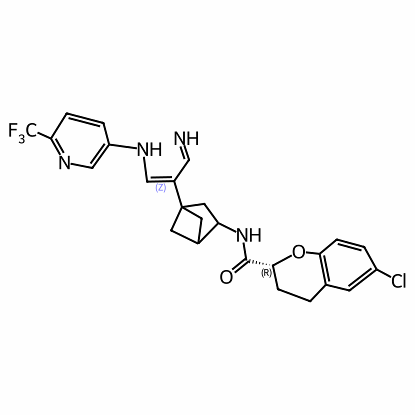 N=C/C(=C\Nc1ccc(C(F)(F)F)nc1)C12CC(C1)C(NC(=O)[C@H]1CCc3cc(Cl)ccc3O1)C2